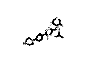 CC(C)C[C@H](NC(=O)c1ccc(N2CCNCC2)cc1)C(=O)N[C@@H]1C(=O)COC[C@H]1C